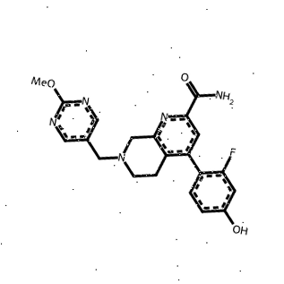 COc1ncc(CN2CCc3c(-c4ccc(O)cc4F)cc(C(N)=O)nc3C2)cn1